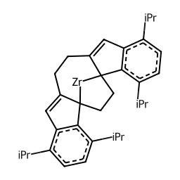 CC(C)c1ccc(C(C)C)c2c1C=C1CCC3=Cc4c(C(C)C)ccc(C(C)C)c4[C]34CC[C]12[Zr]4